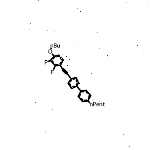 CCCCCc1ccc(-c2ccc(C#Cc3ccc(OCCCC)c(F)c3F)cc2)cc1